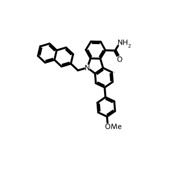 COc1ccc(-c2c[c]c3c4c(C(N)=O)cccc4n(Cc4ccc5ccccc5c4)c3c2)cc1